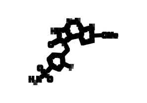 COc1ccc2c(nnc3[nH]c(=O)n(Cc4ccc(S(N)(=O)=O)cc4F)c32)n1